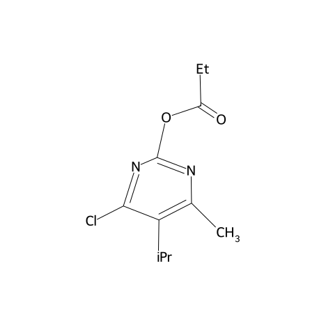 CCC(=O)Oc1nc(C)c(C(C)C)c(Cl)n1